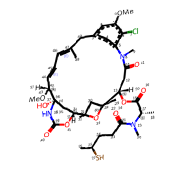 COc1cc2cc(c1Cl)N(C)C(=O)C[C@H](OC(=O)[C@H](C)N(C)C(=O)CCC(C)S)[C@@]1(C)CC(C)(O1)[C@@H]1C[C@@](O)(NC(=O)O1)[C@H](OC)/C=C/C=C(\C)C2